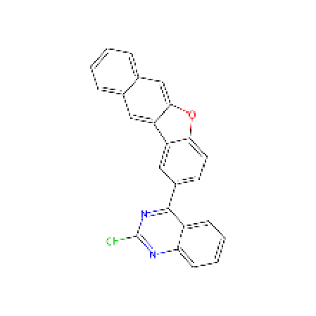 Clc1nc(-c2ccc3oc4cc5ccccc5cc4c3c2)c2ccccc2n1